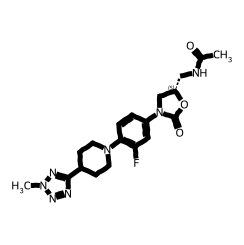 CC(=O)NC[C@H]1CN(c2ccc(N3CCC(c4nnn(C)n4)CC3)c(F)c2)C(=O)O1